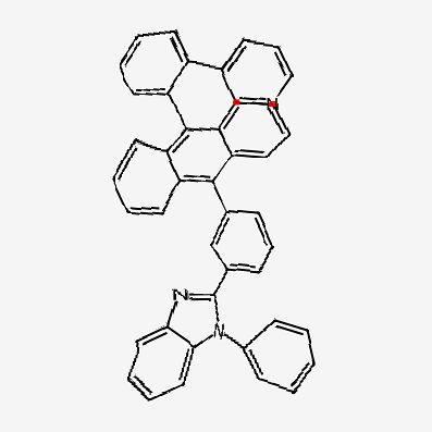 c1ccc(-n2c(-c3cccc(-c4c5ccccc5c(-c5ccccc5-c5cccnc5)c5ccccc45)c3)nc3ccccc32)cc1